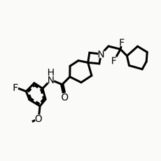 COc1cc(F)cc(NC(=O)C2CCC3(CC2)CN(CC(F)(F)C2CCCCC2)C3)c1